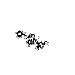 CCC1CC(N[C@@H](C)C(=O)N2CCC[C@H]2C(=O)OCc2ccccc2)C(=O)O1